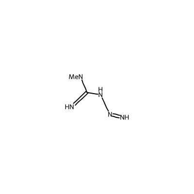 CNC(=N)NN=N